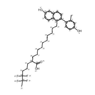 Cc1cc(O)ccc1-c1ccc2cc(O)ccc2c1CCCCCCCCCCC(CCCC(F)(F)C(F)(F)F)C(=O)O